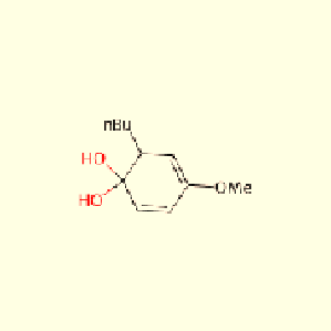 CCCCC1C=C(OC)C=CC1(O)O